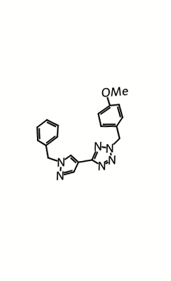 COc1ccc(Cn2nnc(-c3cnn(Cc4ccccc4)c3)n2)cc1